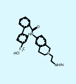 CC(=O)NCCN1CCc2cc(NC(=O)c3ccccc3-c3ccc(C(F)(F)F)cc3)ccc2C1.Cl